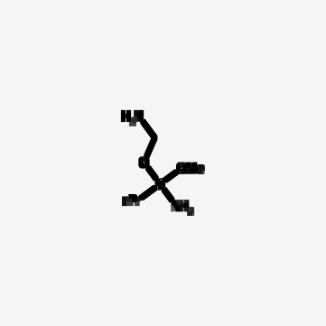 CCC[Si](N)(OC)OCN